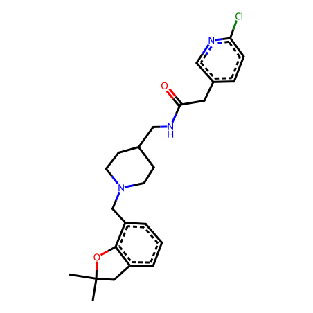 CC1(C)Cc2cccc(CN3CCC(CNC(=O)Cc4ccc(Cl)nc4)CC3)c2O1